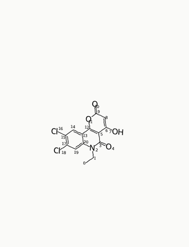 CCn1c(=O)c2c(O)cc(=O)oc2c2cc(Cl)c(Cl)cc21